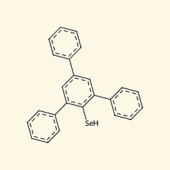 [SeH]c1c(-c2ccccc2)cc(-c2ccccc2)cc1-c1ccccc1